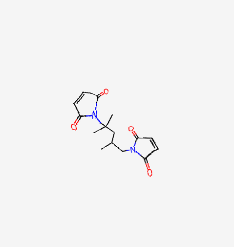 CC(CN1C(=O)C=CC1=O)CC(C)(C)N1C(=O)C=CC1=O